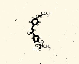 CN(C)S(=O)(=O)c1ccc(C(=O)C=Cc2ccc(OCC(=O)O)cc2)cc1